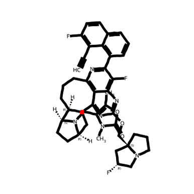 C#Cc1c(F)ccc2cccc(-c3nc4c5c(nc(OC[C@@]67CCCN6C[C@H](F)C7)nc5c3F)N3C[C@H]5CC[C@@H]([C@H]3CCC4)N5Cc3c(C)oc(=O)n3C)c12